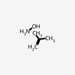 C=C(C)C.NO